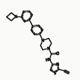 C#Cc1nc(NC(=O)N2CCN(c3ccc(-c4cccc(N5CCC5)c4)cc3)CC2)cs1